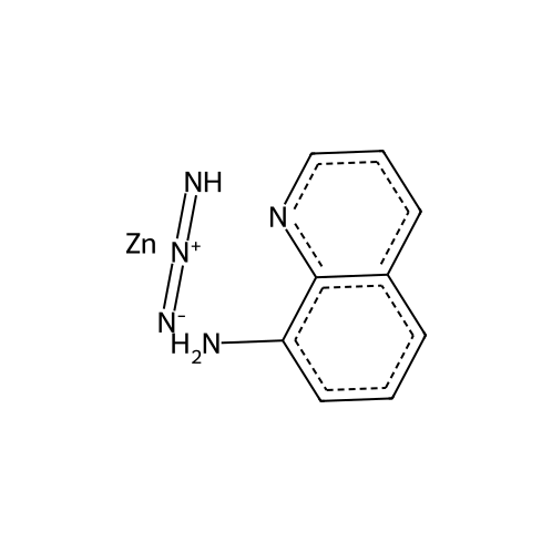 Nc1cccc2cccnc12.[N-]=[N+]=N.[Zn]